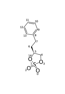 O=S1(=O)OC[C@H](CCc2ccccc2)O1